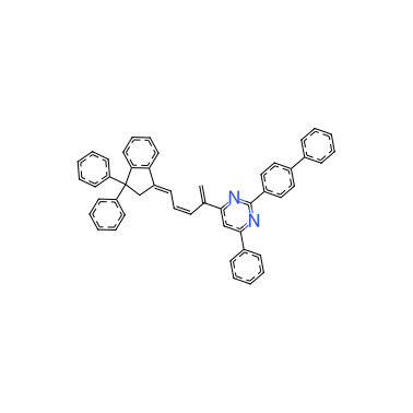 C=C(/C=C\C=C1/CC(c2ccccc2)(c2ccccc2)c2ccccc21)c1cc(-c2ccccc2)nc(-c2ccc(-c3ccccc3)cc2)n1